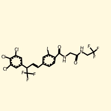 O=C(CNC(=O)c1ccc(/C=C/C(c2cc(Cl)c(Cl)c(Cl)c2)C(F)(F)F)cc1I)NCC(F)(F)F